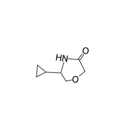 O=C1COCC(C2CC2)N1